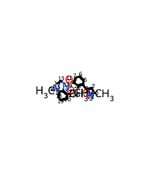 Cc1cc(-c2cccc(S(=O)(=O)N3CCN(C)c4cccc(C)c43)c2C)on1